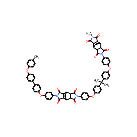 Cc1ccc(Oc2ccc(-c3ccc(Oc4ccc(N5C(=O)C6C7C=CC(C6C5=O)C5C(=O)N(c6ccc(Oc8ccc(C(C)(C)c9ccc(Oc%10ccc(N%11C(=O)C%12C%13C=CC(C%14C(=O)N(C)C(=O)C%13%14)C%12C%11=O)cc%10)cc9)cc8)cc6)C(=O)C75)cc4)cc3)cc2)cc1